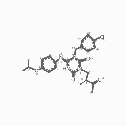 CC(=O)[C@@H](C)Cn1c(=O)[nH]/c(=N\c2ccc(OC(C)C)cc2)n(Cc2ccc(Cl)cc2)c1=O